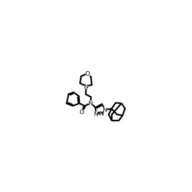 O=C(c1ccccc1)N(CCN1CCOCC1)c1cn(C23CC4CC(CC(C4)C2)C3)nn1